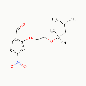 CC(C)C[Si](C)(C)OCCOc1cc([N+](=O)[O-])ccc1C=O